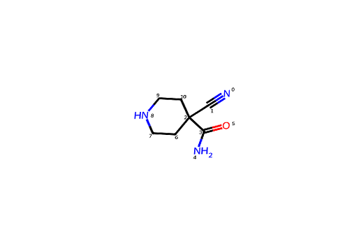 N#CC1(C(N)=O)CCNCC1